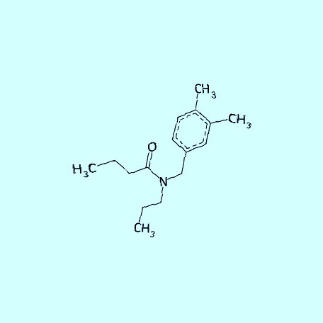 CCCC(=O)N(CCC)Cc1ccc(C)c(C)c1